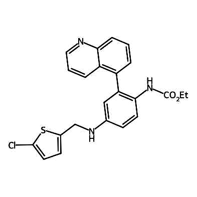 CCOC(=O)Nc1ccc(NCc2ccc(Cl)s2)cc1-c1cccc2ncccc12